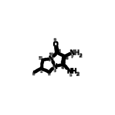 CC1Cn2c(N)c(N)c(=O)n2C1